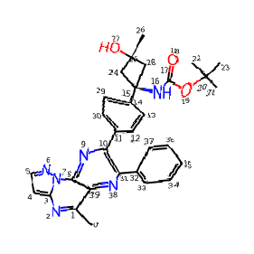 Cc1nc2ccnn2c2nc(-c3ccc([C@]4(NC(=O)OC(C)(C)C)C[C@](C)(O)C4)cc3)c(-c3ccccc3)nc12